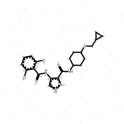 O=C(NC1CCC(OCC2CC2)CC1)c1n[nH]cc1NC(=O)c1c(Cl)cccc1Cl